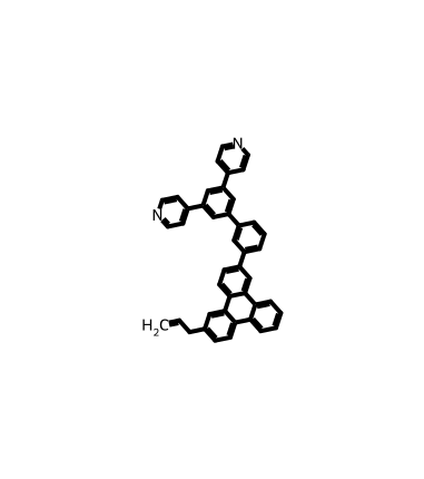 C=CCc1ccc2c3ccccc3c3cc(-c4cccc(-c5cc(-c6ccncc6)cc(-c6ccncc6)c5)c4)ccc3c2c1